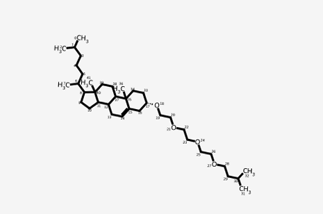 CC(C)CCCC(C)C1CCC2C3CC=C4C[C@@H](OCCOCCOCCOCCC(C)C)CCC4(C)C3CCC12C